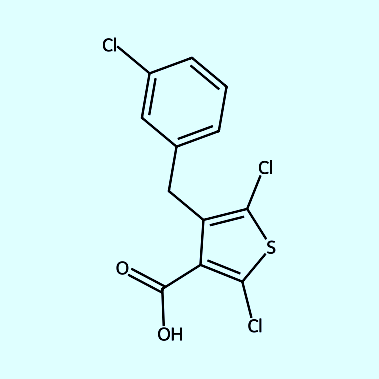 O=C(O)c1c(Cl)sc(Cl)c1Cc1cccc(Cl)c1